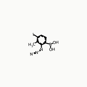 Cc1c(I)ccc(B(O)O)c1N=[N+]=[N-]